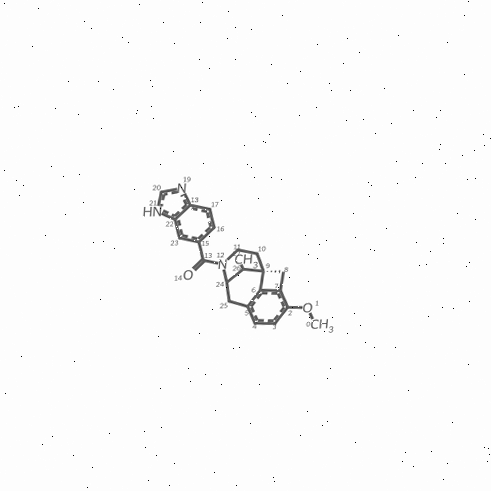 COc1ccc2c3c1C[C@]31CCN(C(=O)c3ccc4nc[nH]c4c3)C(C2)C1C